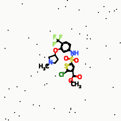 COC(=O)c1cc(S(=O)(=O)Nc2ccc(C(F)(F)F)c(OC3CCN(C)C3)c2)sc1Cl